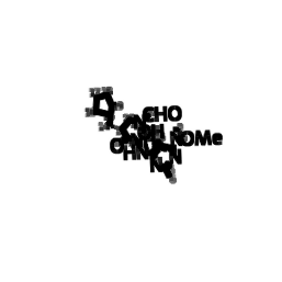 CON(C)c1nc(C)nc(NNC(=O)[C@H](CC2CCCC2)CN(O)C=O)c1F